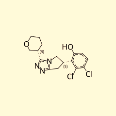 Oc1ccc(Cl)c(Cl)c1[C@@H]1Cc2nnc([C@H]3CCCOC3)n2C1